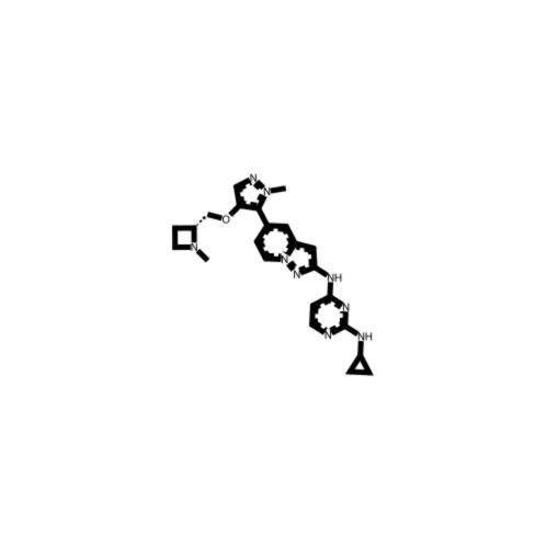 CN1CC[C@@H]1COc1cnn(C)c1-c1ccn2nc(Nc3ccnc(NC4CC4)n3)cc2c1